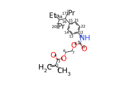 C=C(C)C(=O)OCCOC(=O)Nc1ccc(C(C(C)C)C(CC)C(C)C)cc1